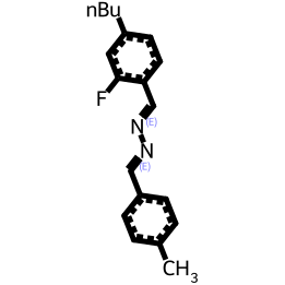 CCCCc1ccc(/C=N/N=C/c2ccc(C)cc2)c(F)c1